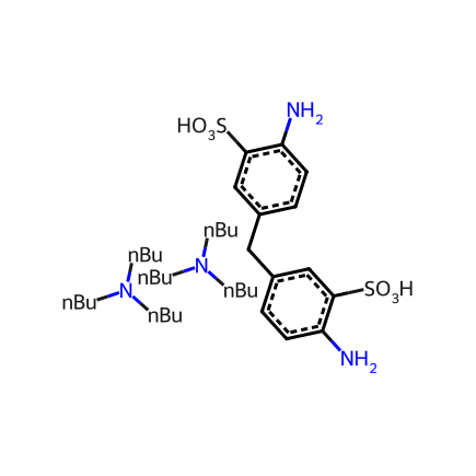 CCCCN(CCCC)CCCC.CCCCN(CCCC)CCCC.Nc1ccc(Cc2ccc(N)c(S(=O)(=O)O)c2)cc1S(=O)(=O)O